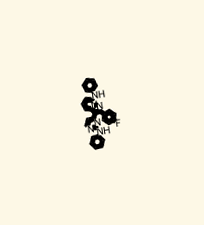 Fc1ccc(-c2nn3c(NC4CCCCC4)cccc3c2-c2ccnc(NC3CCCCC3)n2)cc1